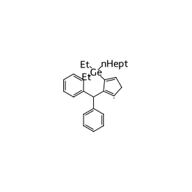 CCCCCC[CH2][Ge]([CH2]C)([CH2]C)[C]1=CC[C]=C1C(c1ccccc1)c1ccccc1